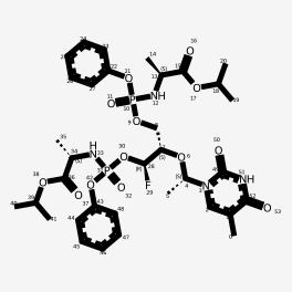 Cc1cn([C@H](C)O[C@@H](COP(=O)(N[C@@H](C)C(=O)OC(C)C)Oc2ccccc2)[C@@H](F)OP(=O)(N[C@@H](C)C(=O)OC(C)C)Oc2ccccc2)c(=O)[nH]c1=O